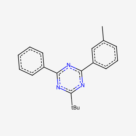 Cc1cccc(-c2nc(-c3ccccc3)nc(C(C)(C)C)n2)c1